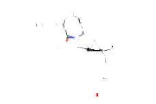 Cc1nccn(CC2(O)CCN(C(=O)O)CC23CCCC3)c1=O